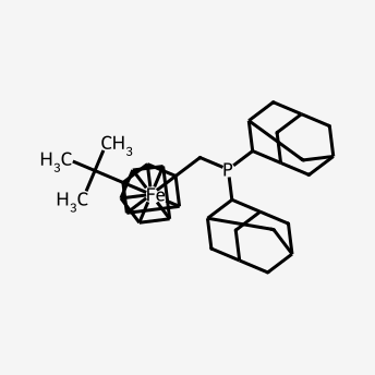 CC(C)(C)[C]12[CH]3[CH]4[C]5(CP(C6C7CC8CC(C7)CC6C8)C6C7CC8CC(C7)CC6C8)[CH]1[Fe]43521678[CH]2[CH]1[CH]6[CH]7[CH]28